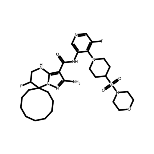 Nc1nn2c(c1C(=O)Nc1cncc(F)c1N1CCC(S(=O)(=O)N3CCOCC3)CC1)NCC(F)C21CCCCCCCCC1